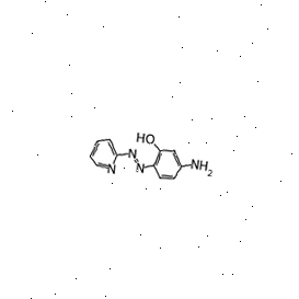 Nc1ccc(N=Nc2ccccn2)c(O)c1